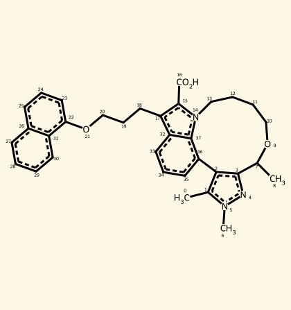 Cc1c2c(nn1C)C(C)OCCCCn1c(C(=O)O)c(CCCOc3cccc4ccccc34)c3cccc-2c31